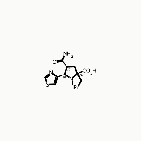 CC(C)C[C@@]1(C(=O)O)C[C@H](C(N)=O)[C@H](c2cscn2)N1